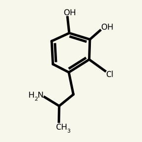 CC(N)Cc1ccc(O)c(O)c1Cl